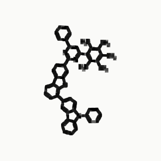 Bc1c(B)c(B)c(-c2cc(-c3ccccc3)nc(-c3ccc4c(c3)oc3c(-c5ccc6c(c5)c5ccccc5n6-c5ccccc5)cccc34)n2)c(B)c1B